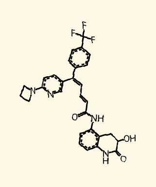 O=C(/C=C/C=C(/c1ccc(C(F)(F)F)cc1)c1ccc(N2CCC2)nc1)Nc1cccc2c1CC(O)C(=O)N2